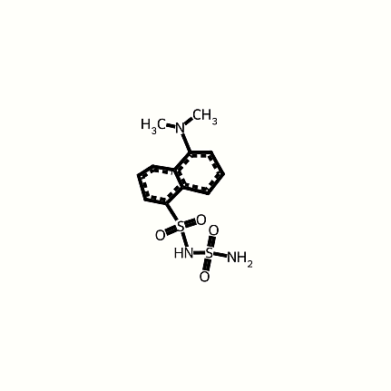 CN(C)c1cccc2c(S(=O)(=O)NS(N)(=O)=O)cccc12